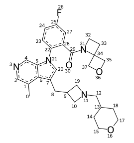 Cc1cncc2c1c(CC1CN(CC3CCOCC3)C1)cn2-c1ccc(F)cc1C(=O)N1CCC12COC2